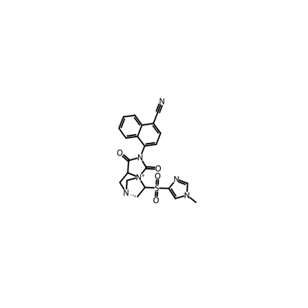 Cn1cnc(S(=O)(=O)C2C[N@]3CC4C(=O)N(c5ccc(C#N)c6ccccc56)C(=O)[N+]42C3)c1